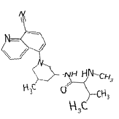 CNC(C(=O)NC1CC(C)CN(c2ccc(C#N)c3ncccc23)C1)C(C)C